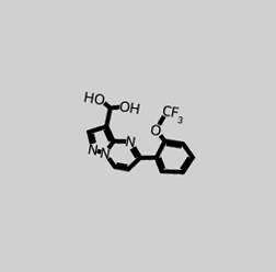 OC(O)c1cnn2ccc(-c3ccccc3OC(F)(F)F)nc12